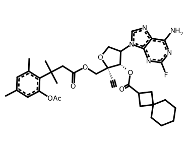 C#C[C@]1(COC(=O)CC(C)(C)c2c(C)cc(C)cc2OC(C)=O)OCC(n2cnc3c(N)nc(F)nc32)[C@@H]1OC(=O)C1CC2(CCCCC2)C1